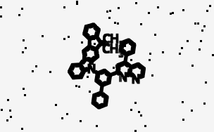 CC1(C)c2ccccc2-c2cc3c4ccccc4n(-c4cc(-c5ccccc5)cc(-c5cc(-c6ccccc6)c6cccnc6n5)c4)c3cc21